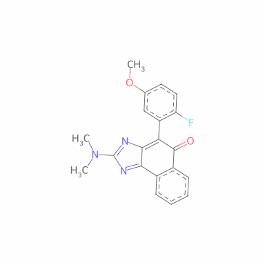 COc1ccc(F)c(C2=C3N=C(N(C)C)N=C3c3ccccc3C2=O)c1